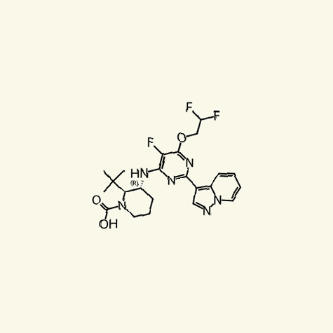 CC(C)(C)C1[C@H](Nc2nc(-c3cnn4ccccc34)nc(OCC(F)F)c2F)CCCN1C(=O)O